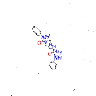 O=C(Nc1ccccc1)Nc1cc2n(n1)CCN(C(=O)Nc1ccccc1)C2